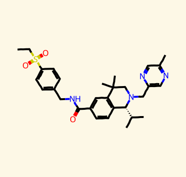 CCS(=O)(=O)c1ccc(CNC(=O)c2ccc3c(c2)C(C)(C)CN(Cc2cnc(C)cn2)[C@@H]3C(C)C)cc1